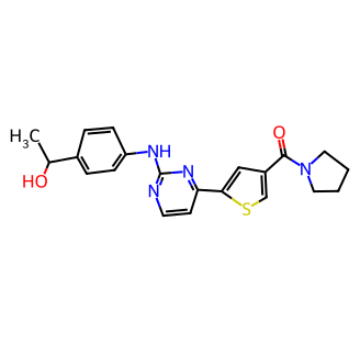 CC(O)c1ccc(Nc2nccc(-c3cc(C(=O)N4CCCC4)cs3)n2)cc1